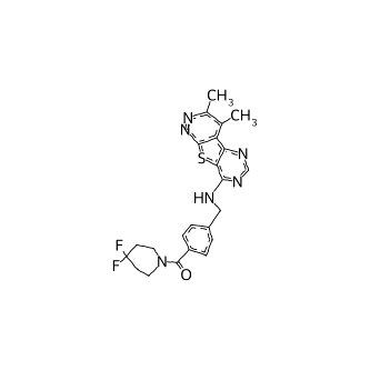 Cc1nnc2sc3c(NCc4ccc(C(=O)N5CCC(F)(F)CC5)cc4)ncnc3c2c1C